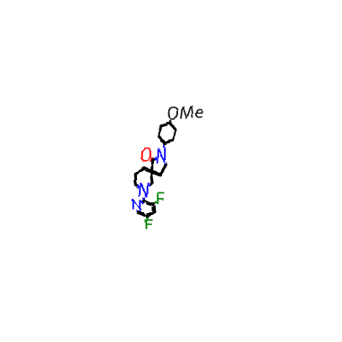 COC1CCC(N2CCC3(CCCN(c4ncc(F)cc4F)C3)C2=O)CC1